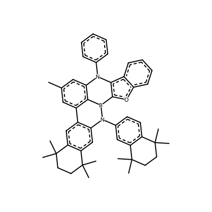 Cc1cc2c3c(c1)N(c1ccccc1)c1c(oc4ccccc14)B3N(c1ccc3c(c1)C(C)(C)CCC3(C)C)c1cc3c(cc1-2)C(C)(C)CCC3(C)C